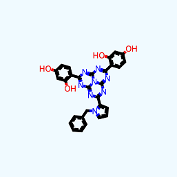 Oc1ccc(C2=NC3=NC(c4ccc(O)cc4O)=NC4=NC(c5cccn5Cc5ccccc5)=NC(=N2)N34)c(O)c1